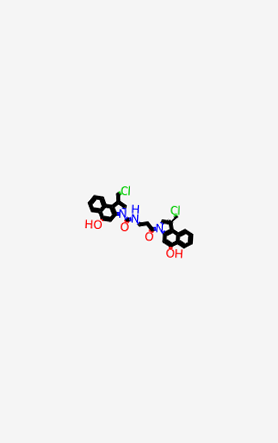 O=C(NCCC(=O)N1C[C@@H](CCl)c2c1cc(O)c1ccccc21)N1CC(CCl)c2c1cc(O)c1ccccc21